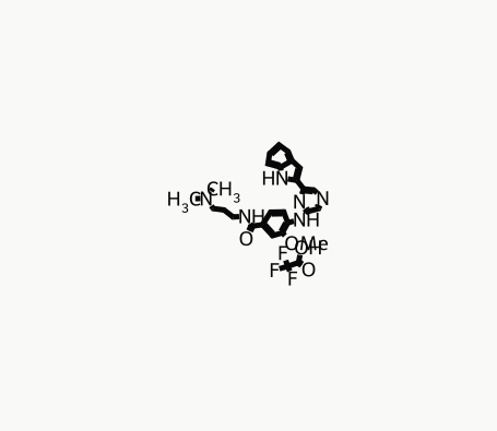 COc1cc(C(=O)NCCCN(C)C)ccc1Nc1cncc(-c2cc3ccccc3[nH]2)n1.O=C(O)C(F)(F)F